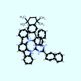 CC1(C)CCC(C)(C)c2cc(-c3ccccc3-n3c4ccccc4c4ccc5c6ccccc6n(-c6nc(-c7ccccc7)nc(-c7ccc8ccccc8c7)n6)c5c43)ccc21